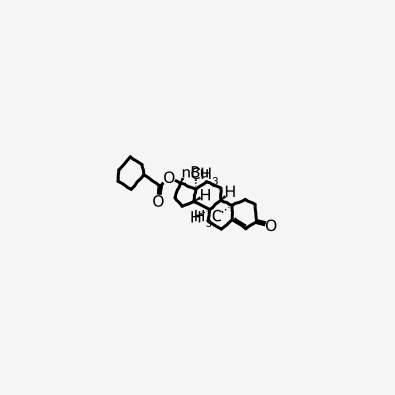 CCCC[C@]1(OC(=O)C2CCCCC2)CC[C@H]2[C@@H]3CCC4=CC(=O)CC[C@]4(C)[C@H]3CC[C@@]21C